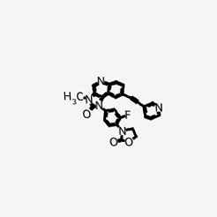 Cn1c(=O)n(-c2ccc(N3CCOC3=O)c(F)c2)c2c3cc(C#Cc4cccnc4)ccc3ncc21